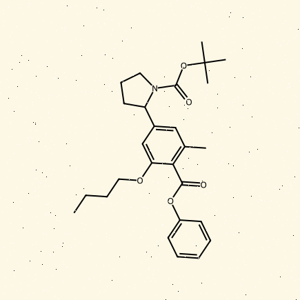 CCCCOc1cc(C2CCCN2C(=O)OC(C)(C)C)cc(C)c1C(=O)Oc1ccccc1